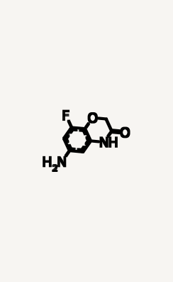 Nc1cc(F)c2c(c1)NC(=O)CO2